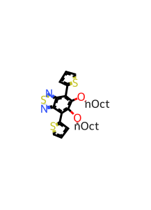 CCCCCCCCOc1c(OCCCCCCCC)c(-c2cccs2)c2nsnc2c1-c1cccs1